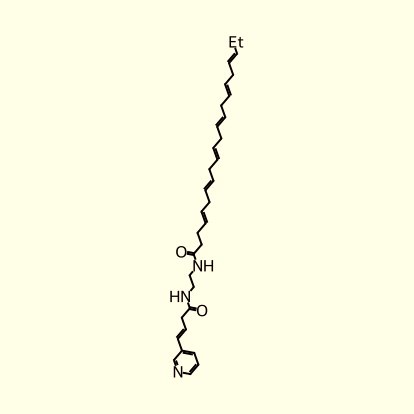 CCC=CCC=CCC=CCC=CCC=CCC=CCCC(=O)NCCNC(=O)CC=Cc1cccnc1